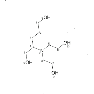 OCCCC(CO)N(CCO)CCO